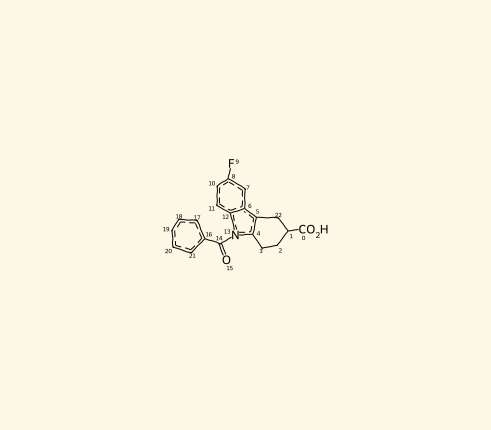 O=C(O)C1CCc2c(c3cc(F)ccc3n2C(=O)c2ccccc2)C1